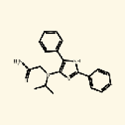 CC(C)N(CC(N)=O)c1nc(-c2ccccc2)[nH]c1-c1ccccc1